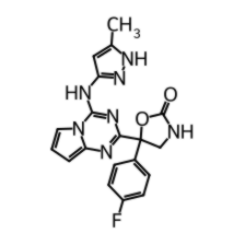 Cc1cc(Nc2nc(C3(c4ccc(F)cc4)CNC(=O)O3)nc3cccn23)n[nH]1